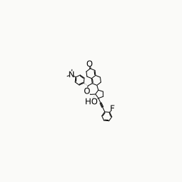 CN(C)c1ccc([C@H]2OC[C@@]3(C)C(CC[C@@]3(O)C#Cc3ccccc3F)C3CCC4=CC(=O)CCC4=C32)cc1